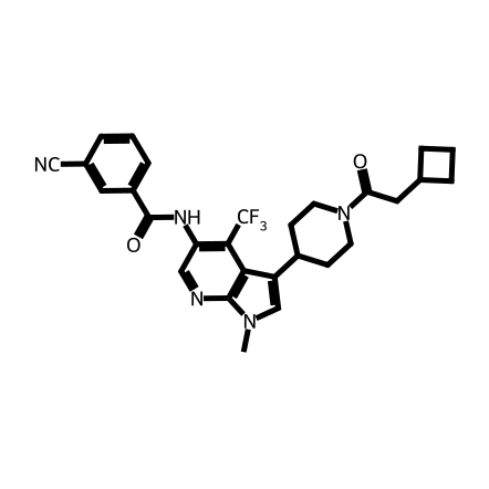 Cn1cc(C2CCN(C(=O)CC3CCC3)CC2)c2c(C(F)(F)F)c(NC(=O)c3cccc(C#N)c3)cnc21